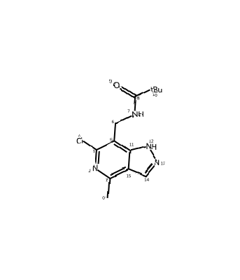 Cc1nc(Cl)c(CNC(=O)C(C)(C)C)c2[nH]ncc12